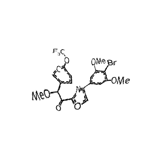 COc1cc(-c2coc(C(=O)C(OC)c3ccc(OC(F)(F)F)cc3)n2)cc(OC)c1Br